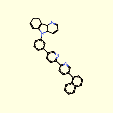 C1=CC2C(N=C1)C1=C(C=CCC1)N2c1cccc(-c2ccc(-c3ccc(-c4cccc5ccccc45)cn3)nc2)c1